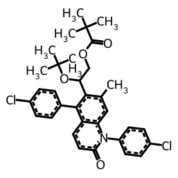 Cc1cc2c(ccc(=O)n2-c2ccc(Cl)cc2)c(-c2ccc(Cl)cc2)c1C(COC(=O)C(C)(C)C)OC(C)(C)C